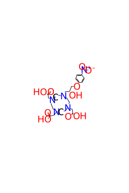 O=C(O)CN1CCN(CC(=O)O)CCN(CC(O)COc2ccc([N+](=O)[O-])cc2)CCN(CC(=O)O)CC1